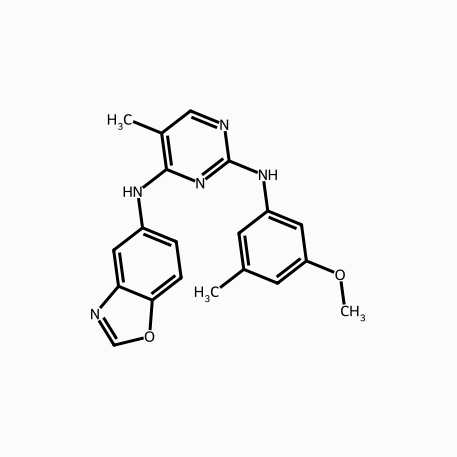 COc1cc(C)cc(Nc2ncc(C)c(Nc3ccc4ocnc4c3)n2)c1